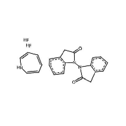 C1=CC=CNC=C1.F.F.O=C1Cc2ccccc2N1N1C(=O)Cc2ccccc21